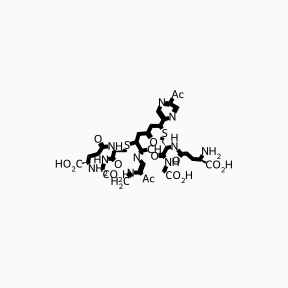 C=N/C(=C\N=C(/C)C(CC(=O)CC(SC[C@H](NC(=O)CC[C@@H](N)C(=O)O)C(=O)NCC(=O)O)c1cnc(C(C)=O)cn1)SC[C@H](NC(=O)CC[C@H](N)C(=O)O)C(=O)NCC(=O)O)C(C)=O